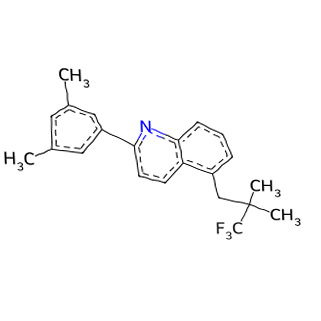 Cc1cc(C)cc(-c2ccc3c(CC(C)(C)C(F)(F)F)cccc3n2)c1